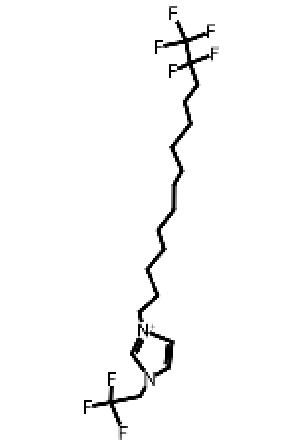 FC(F)(F)Cn1cc[n+](CCCCCCCCCCCCC(F)(F)C(F)(F)F)c1